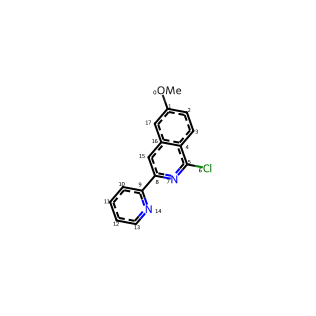 COc1ccc2c(Cl)nc(-c3ccccn3)cc2c1